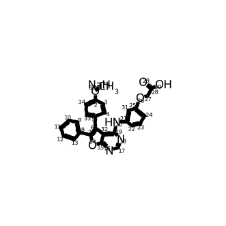 COc1ccc(-c2c(-c3ccccc3)oc3ncnc(Nc4cccc(OCC(=O)O)c4)c23)cc1.[NaH]